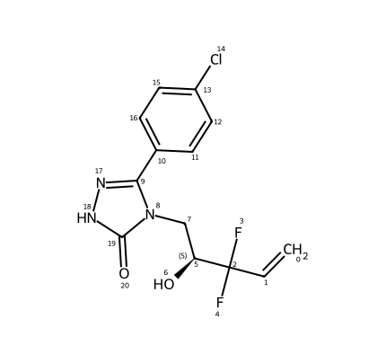 C=CC(F)(F)[C@@H](O)Cn1c(-c2ccc(Cl)cc2)n[nH]c1=O